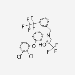 O[C@H](CN(Cc1cccc(C(F)(F)C(F)(F)F)c1)c1cccc(Oc2cccc(Cl)c2Cl)c1)C(F)(F)F